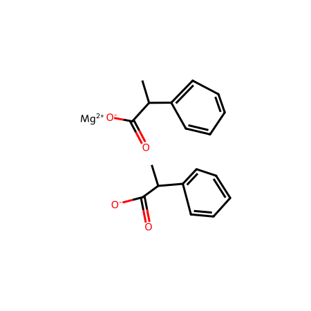 CC(C(=O)[O-])c1ccccc1.CC(C(=O)[O-])c1ccccc1.[Mg+2]